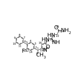 CC(c1ccc(-c2ccccc2)c(F)c1)c1cc(NC(=N)NCC(N)=O)on1